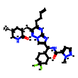 C=CCCc1nc2nc([C@@H](NC(=O)c3ccnn3CC)C3CCC(F)(F)CC3)cn2nc1C[C@H]1C[C@@H](C(F)(F)F)CNC1=O